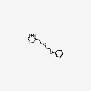 C1=NN=C(CCOCCOc2ccccc2)CS1